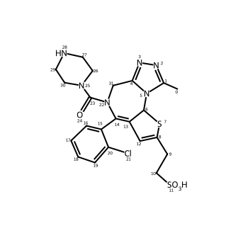 Cc1nnc2n1C1SC(CCS(=O)(=O)O)=CC1=C(c1ccccc1Cl)N(C(=O)N1CCNCC1)C2